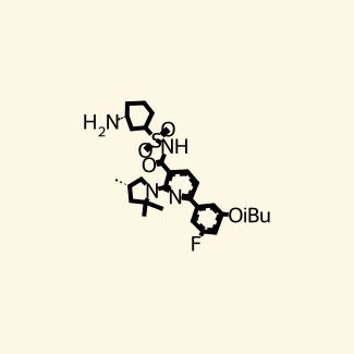 CC(C)COc1cc(F)cc(-c2ccc(C(=O)NS(=O)(=O)C3CCC[C@@H](N)C3)c(N3C[C@@H](C)CC3(C)C)n2)c1